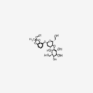 CCOC1(C)Oc2cccc(O[C@H]3C[C@@H](O)[C@H](O[C@@H]4O[C@H](COC(C)=O)[C@H](O)[C@H](O)[C@H]4O)[C@@H](CO)O3)c2O1